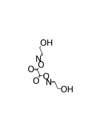 O=C(ON=CCO)C(=O)ON=CCO